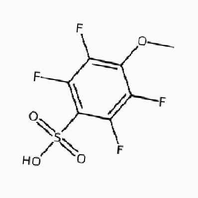 COc1c(F)c(F)c(S(=O)(=O)O)c(F)c1F